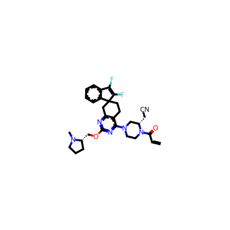 C=CC(=O)N1CCN(c2nc(OC[C@@H]3CCCN3C)nc3c2CCC2(C3)C(F)=C(F)c3ccccc32)C[C@@H]1CC#N